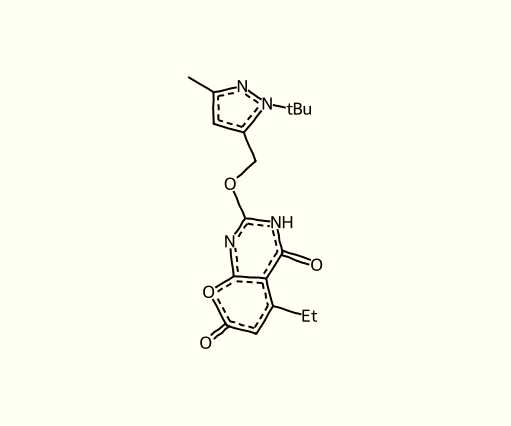 CCc1cc(=O)oc2nc(OCc3cc(C)nn3C(C)(C)C)[nH]c(=O)c12